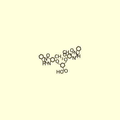 COc1cc2c(cc1OCc1cc(COc3cc4c(cc3C)C(=O)N3c5ccccc5C[C@H]3C=N4)cc(C(=O)O)c1)N=C[C@@H]1Cc3ccccc3N1C2=O